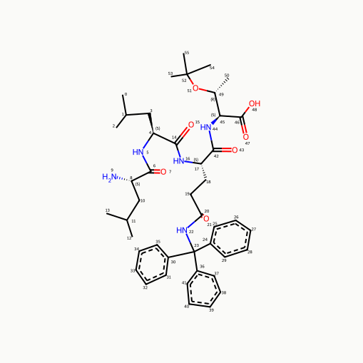 CC(C)C[C@H](NC(=O)[C@@H](N)CC(C)C)C(=O)N[C@@H](CCC(=O)NC(c1ccccc1)(c1ccccc1)c1ccccc1)C(=O)N[C@H](C(=O)O)[C@@H](C)OC(C)(C)C